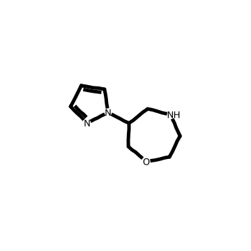 c1cnn(C2CNCCOC2)c1